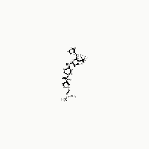 CN(C)CCn1cc(S(=O)(=O)N2CCC(Nc3ncc(C(F)(F)F)c(O[C@H]4CCOC4)n3)CC2)cn1